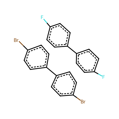 Brc1ccc(-c2ccc(Br)cc2)cc1.Fc1ccc(-c2ccc(F)cc2)cc1